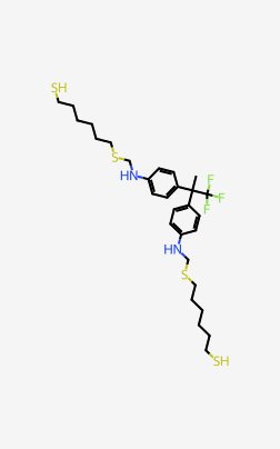 CC(c1ccc(NCSCCCCCCS)cc1)(c1ccc(NCSCCCCCCS)cc1)C(F)(F)F